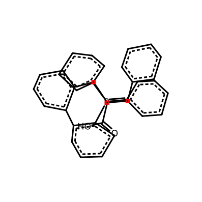 O=C(O)/C(=C/c1ccccc1)Cc1ccccc1-c1ccccc1P(c1ccccc1)c1ccccc1